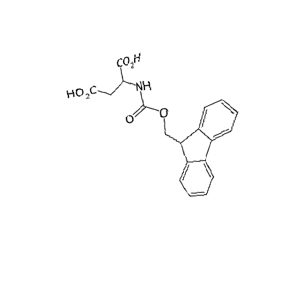 O=C(O)CC(NC(=O)OCC1c2ccccc2-c2ccccc21)C(=O)O